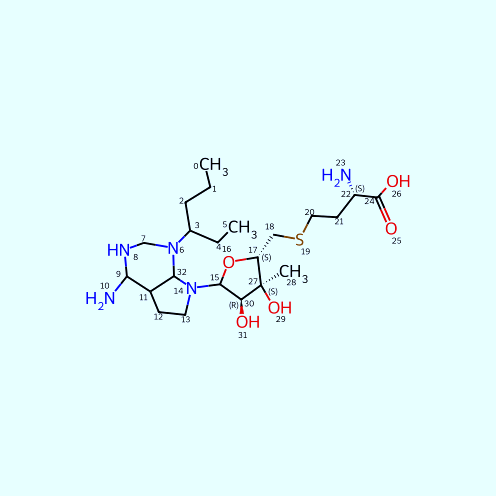 CCCC(CC)N1CNC(N)C2CCN(C3O[C@H](CSCC[C@H](N)C(=O)O)[C@@](C)(O)[C@H]3O)C21